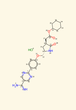 Cl.N=C(N)c1cnc(-c2ccc(OC[C@@H]3C[C@@H](CC(=O)OC4CCCCC4)C(=O)N3)cc2)nc1